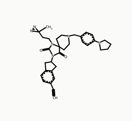 C#Cc1ccc2c(c1)CC(N1C(=O)N(CCC3(C)N=N3)C3(CCN(Cc4ccc(N5CCCC5)cc4)CC3)C1=O)C2